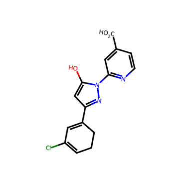 O=C(O)c1ccnc(-n2nc(C3=CC(Cl)=CCC3)cc2O)c1